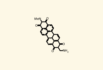 CNC1C(=O)c2ccc3c4c(ccc(c24)C1=O)C1C=CC2=C4C(=CC=C3C41)C(=O)C(CN)C2=O